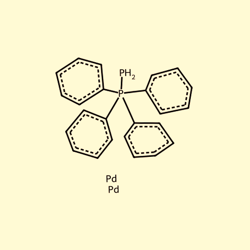 PP(c1ccccc1)(c1ccccc1)(c1ccccc1)c1ccccc1.[Pd].[Pd]